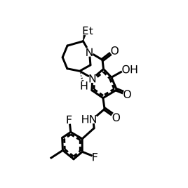 CC[C@@H]1CCC[C@H]2CN1C(=O)c1c(O)c(=O)c(C(=O)NCc3c(F)cc(C)cc3F)cn12